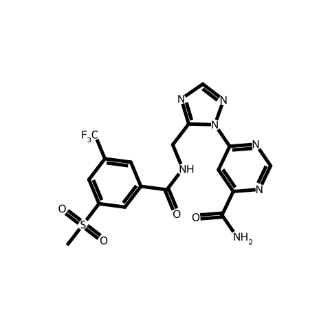 CS(=O)(=O)c1cc(C(=O)NCc2ncnn2-c2cc(C(N)=O)ncn2)cc(C(F)(F)F)c1